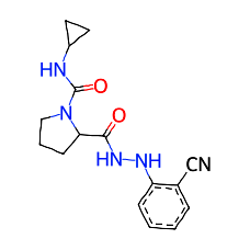 N#Cc1ccccc1NNC(=O)C1CCCN1C(=O)NC1CC1